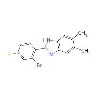 Cc1cc2nc(-c3ccc(F)cc3Br)[nH]c2cc1C